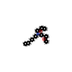 c1ccc2cc(-c3ccc(-c4ccc(N(c5ccc(-c6cccc7c6oc6ccccc67)cc5)c5cccc6c5oc5c7ccccc7ccc65)cc4)cc3)ccc2c1